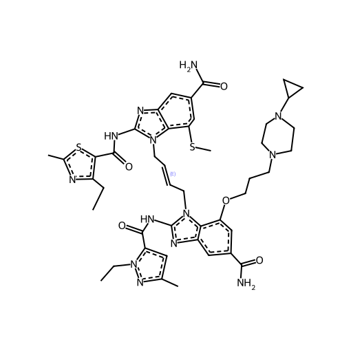 CCc1nc(C)sc1C(=O)Nc1nc2cc(C(N)=O)cc(SC)c2n1C/C=C/Cn1c(NC(=O)c2cc(C)nn2CC)nc2cc(C(N)=O)cc(OCCCN3CCN(C4CC4)CC3)c21